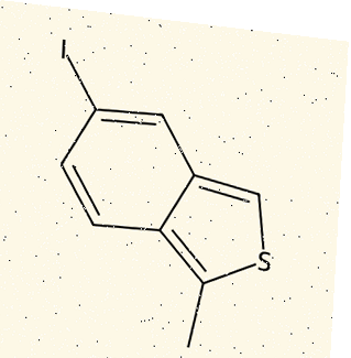 Cc1scc2cc(I)ccc12